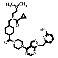 CCCc1cccc(Cn2ncc3c(N4CCN(C(=O)C5CCC(CN(CCN(C)C)C(=O)C6CC6)CC5)CC4)ncnc32)n1